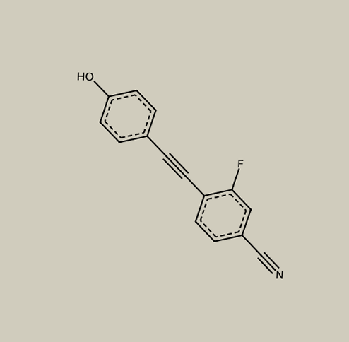 N#Cc1ccc(C#Cc2ccc(O)cc2)c(F)c1